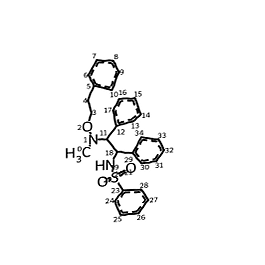 CN(OCCc1ccccc1)C(c1ccccc1)C(NS(=O)(=O)c1ccccc1)c1ccccc1